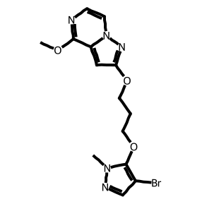 COc1nccn2nc(OCCCOc3c(Br)cnn3C)cc12